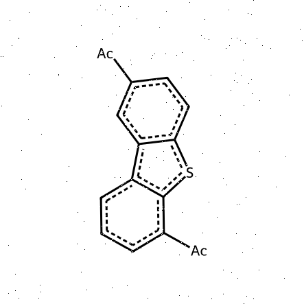 CC(=O)c1ccc2sc3c(C(C)=O)cccc3c2c1